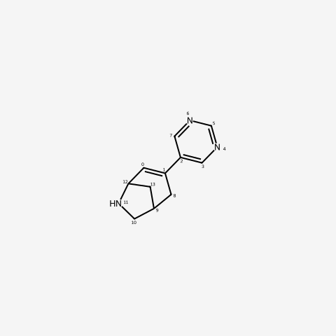 C1=C(c2cncnc2)CC2CNC1C2